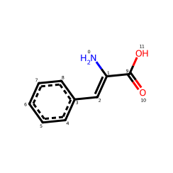 N/C(=C\c1ccccc1)C(=O)O